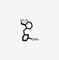 COc1cccc(CC2CCCCC2=CC(=O)O)c1